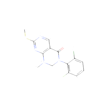 CSc1ncc2c(n1)N(C)CN(c1c(F)cccc1Cl)C2=O